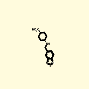 O=C(O)[C@H]1CC[C@H](NCc2ccc3nsnc3c2)CC1